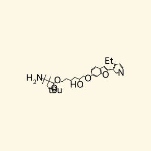 CCc1ccncc1-c1cc2ccc(OCC(O)CCCCOC(=O)C(C)(CC(C)(C)C)C(C)(C)N)cc2o1